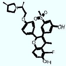 CC1=C(c2cc(O)cc(S(C)(=O)=O)c2)C(c2ccc(OC[C@H](C)N3CC[C@@H](C)C3)cc2)Oc2ccc(O)c(F)c21